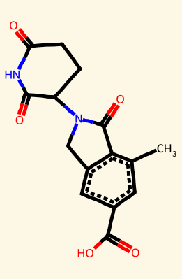 Cc1cc(C(=O)O)cc2c1C(=O)N(C1CCC(=O)NC1=O)C2